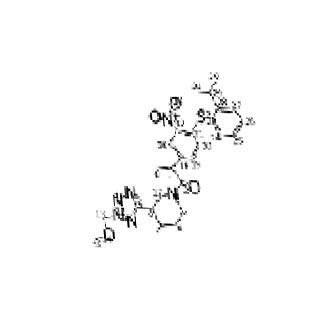 C=C(C(=O)N1CCCC(c2nnn(COC)n2)C1)c1ccc(Sc2ccccc2C(C)C)c([N+](=O)[O-])c1